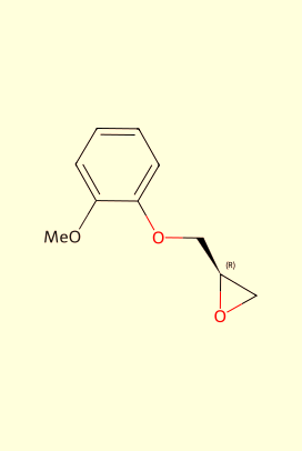 COc1ccccc1OC[C@H]1CO1